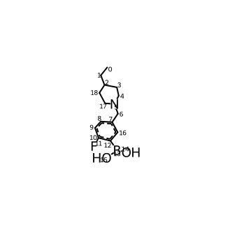 CCC1CCN(Cc2ccc(F)c(B(O)O)c2)CC1